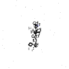 C=N/C=C\N(N)c1ncc(F)c2c(C(=O)C(=O)N3CCN(c4nnc(C)n4-c4ccccc4)CC3)c[nH]c12